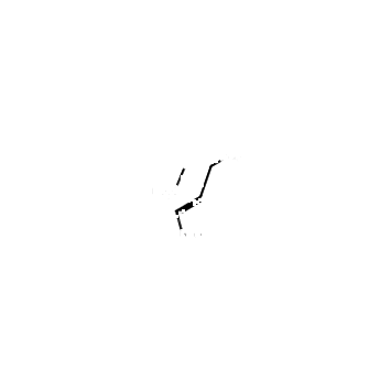 CC(=O)O.CCCCCCC=CCOC(C)=O